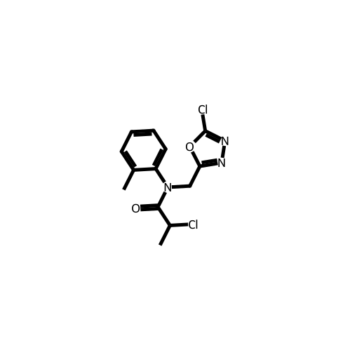 Cc1ccccc1N(Cc1nnc(Cl)o1)C(=O)C(C)Cl